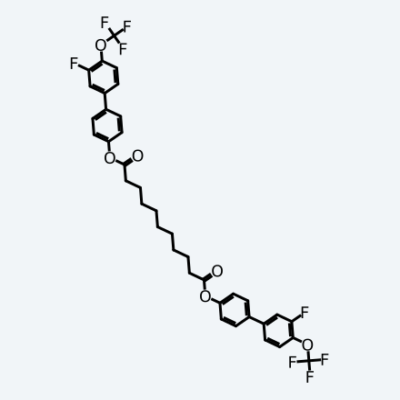 O=C(CCCCCCCCCC(=O)Oc1ccc(-c2ccc(OC(F)(F)F)c(F)c2)cc1)Oc1ccc(-c2ccc(OC(F)(F)F)c(F)c2)cc1